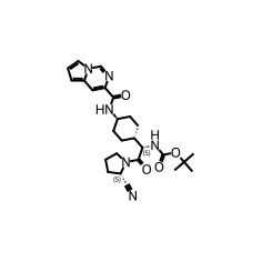 CC(C)(C)OC(=O)N[C@H](C(=O)N1CCC[C@H]1C#N)[C@H]1CC[C@H](NC(=O)c2cc3cccn3cn2)CC1